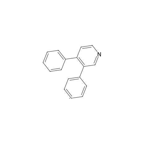 [c]1ccc(-c2cnccc2-c2ccccc2)cc1